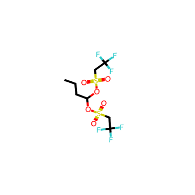 CCCC(OS(=O)(=O)CC(F)(F)F)OS(=O)(=O)CC(F)(F)F